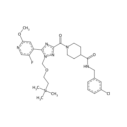 COc1cc(-c2nc(C(=O)N3CCC(C(=O)NCc4cccc(Cl)c4)CC3)nn2COCC[Si](C)(C)C)c(F)cn1